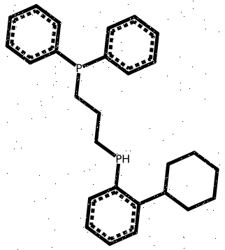 c1ccc(P(CCCPc2ccccc2C2CCCCC2)c2ccccc2)cc1